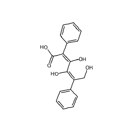 O=C(O)C(=C(O)C(O)=C(CO)c1ccccc1)c1ccccc1